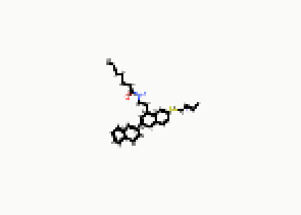 C/C=C/CSc1ccc2cc(-c3ccc4ccccc4c3)cc(CCNC(=O)CCCCCC)c2c1